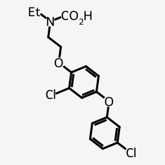 CCN(CCOc1ccc(Oc2cccc(Cl)c2)cc1Cl)C(=O)O